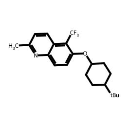 Cc1ccc2c(C(F)(F)F)c(OC3CCC(C(C)(C)C)CC3)ccc2n1